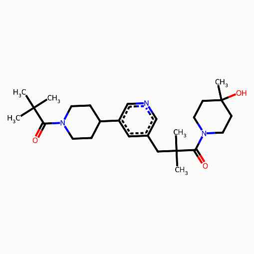 CC1(O)CCN(C(=O)C(C)(C)Cc2cncc(C3CCN(C(=O)C(C)(C)C)CC3)c2)CC1